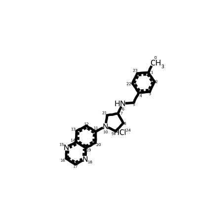 Cc1ccc(CNC2CCN(c3ccc4nccnc4c3)C2)cc1.Cl